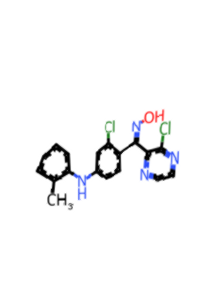 Cc1ccccc1Nc1ccc(C(=NO)c2nccnc2Cl)c(Cl)c1